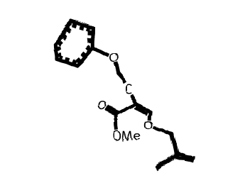 C=C(C)COC=C(CCOc1ccccc1)C(=O)OC